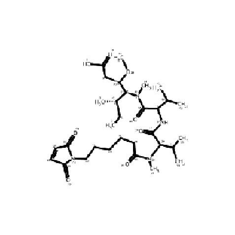 CC[C@H](C)[C@@H]([C@@H](CC(=O)O)OC)N(C)C(=O)C(NC(=O)C(C(C)C)N(C)C(=O)CCCCCN1C(=O)C=CC1=O)C(C)C